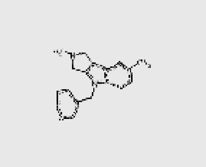 Cc1ccc2c(c1)c1c(n2Cc2cccnc2)CN(C)C1